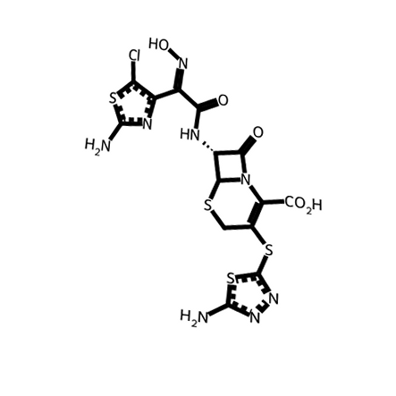 Nc1nnc(SC2=C(C(=O)O)N3C(=O)[C@@H](NC(=O)/C(=N/O)c4nc(N)sc4Cl)C3SC2)s1